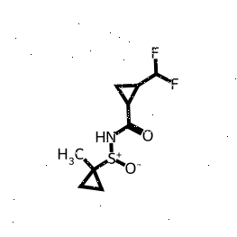 CC1([S+]([O-])NC(=O)C2CC2C(F)F)CC1